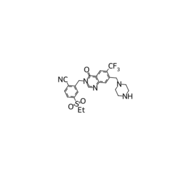 CCS(=O)(=O)c1ccc(C#N)c(Cn2cnc3cc(CN4CCNCC4)c(C(F)(F)F)cc3c2=O)c1